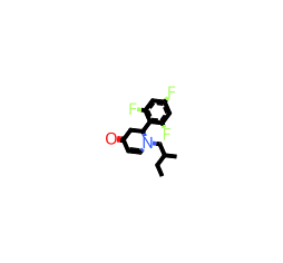 CCC(C)CN1C=CC(=O)CC1c1c(F)cc(F)cc1F